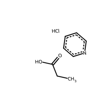 CCC(=O)O.Cl.c1ccncc1